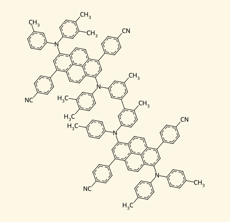 Cc1ccc(N(c2ccc(C)cc2)c2cc(-c3ccc(C#N)cc3)c3ccc4c(N(c5ccc(C)cc5)c5ccc(C)c(-c6cc(C)cc(N(c7ccc(C)c(C)c7)c7cc(-c8ccc(C#N)cc8)c8ccc9c(N(c%10cccc(C)c%10)c%10ccc(C)c(C)c%10)cc(-c%10ccc(C#N)cc%10)c%10ccc7c8c%109)c6)c5)cc(-c5ccc(C#N)cc5)c5ccc2c3c54)cc1